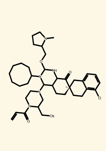 C=CC(=O)N1CCN(C2C3CC[C@@]4(CCc5c(Cl)cccc5C4)C(=O)C3NC(OCC3CCCN3C)N2C2CCCCCCC2)CC1CC#N